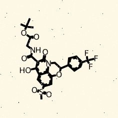 CC(C)(C)OC(=O)CNC(=O)c1c(O)c2cc(S(C)(=O)=O)cc3c2n(c1=O)CC(c1ccc(C(F)(F)F)cc1)O3